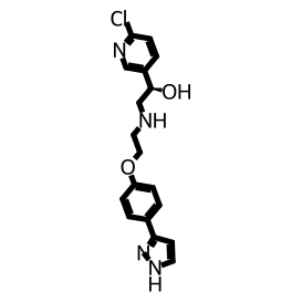 O[C@@H](CNCCOc1ccc(-c2cc[nH]n2)cc1)c1ccc(Cl)nc1